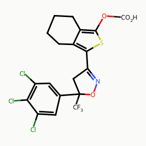 O=C(O)Oc1sc(C2=NOC(c3cc(Cl)c(Cl)c(Cl)c3)(C(F)(F)F)C2)c2c1CCCC2